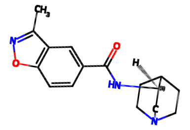 Cc1noc2ccc(C(=O)N[C@@H]3CN4CCC3CC4)cc12